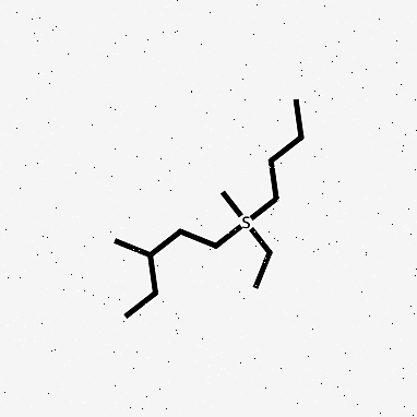 CCCCS(C)(CC)CCC(C)CC